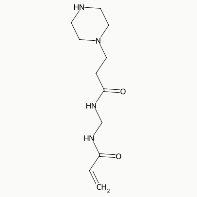 C=CC(=O)NCNC(=O)CCN1CCNCC1